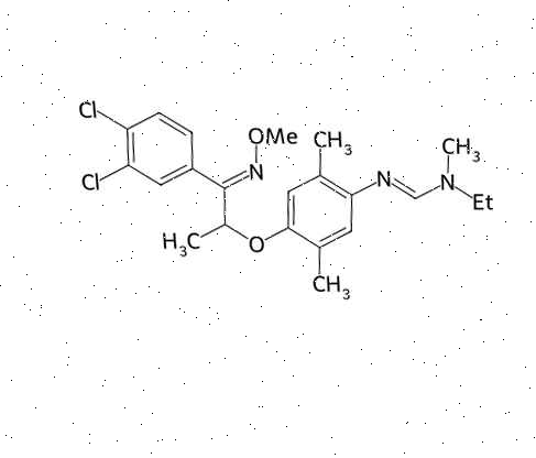 CCN(C)C=Nc1cc(C)c(OC(C)C(=NOC)c2ccc(Cl)c(Cl)c2)cc1C